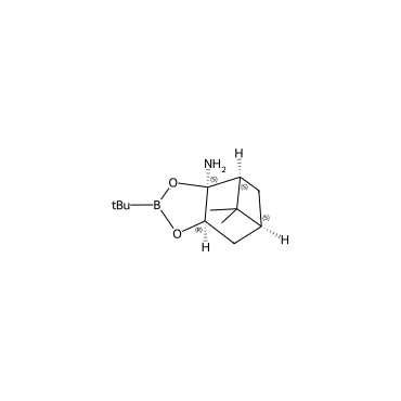 CC(C)(C)B1O[C@@H]2C[C@@H]3C[C@@H](C3(C)C)[C@]2(N)O1